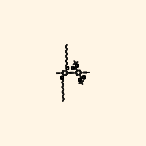 C#Cc1cc(OCCCCCCCCCC)c(C#Cc2cc(C(=O)OC(C)(C)C)c(C#CC)cc2C(=O)OC(C)(C)C)cc1OCCCCCCCCCC